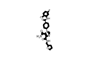 NC(=O)c1c(C(=O)NCC2CCCO2)ncn1[C@H]1CC[C@H](C(=O)Nc2cc(F)ccc2Cl)CC1